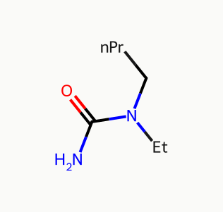 [CH2]CCCN(CC)C(N)=O